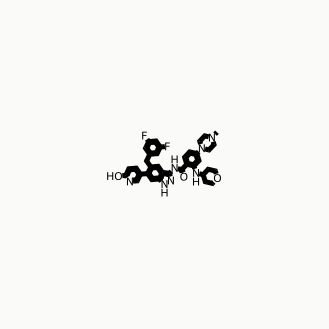 CN1CCN(c2ccc(C(=O)Nc3n[nH]c4cc(-c5ccc(O)nc5)c(Cc5cc(F)cc(F)c5)cc34)c(NC3CCOCC3)c2)CC1